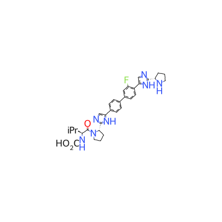 CC(C)[C@H](NC(=O)O)C(=O)N1CCC[C@H]1c1ncc(-c2ccc(-c3ccc(-c4cnc([C@@H]5CCCN5)[nH]4)c(F)c3)cc2)[nH]1